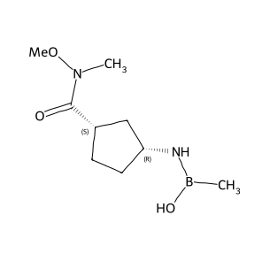 CON(C)C(=O)[C@H]1CC[C@@H](NB(C)O)C1